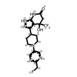 O=C1CC(O)(C(F)(F)F)c2c(C3CCN(c4cnc(CF)nc4)CC3)n[nH]c2N1